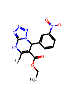 CCOC(=O)C1=C(C)Nc2nnnn2C1c1cccc([N+](=O)[O-])c1